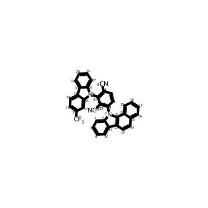 N#Cc1ccc(-n2c3ccccc3c3ccc4ccccc4c32)c(C#N)c1-n1c2ccccc2c2ccc(C(F)(F)F)cc21